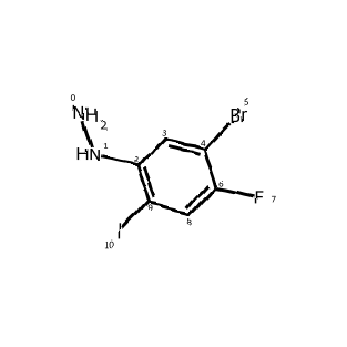 NNc1cc(Br)c(F)cc1I